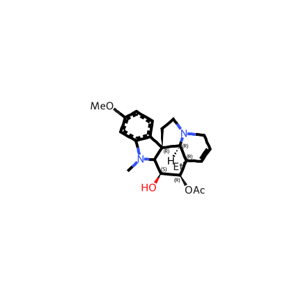 CC[C@]12C=CCN3CC[C@@]4(c5ccc(OC)cc5N(C)C4[C@H](O)[C@@H]1OC(C)=O)[C@@H]32